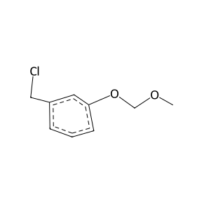 COCOc1cccc(CCl)c1